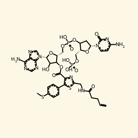 C=CCCC(=O)NCc1nc(C(=O)OC2C(O)[C@H](n3cnc4c(N)ncnc43)O[C@@H]2COP(=O)(O)OC2C[C@H](n3ccc(N)nc3=O)O[C@@H]2COP(=O)(O)O)c(-c2ccc(SC)cc2)s1